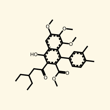 CCC(CC)CC(=O)c1c(C(=O)OC)c(-c2ccc(C)c(C)c2)c2c(OC)c(OC)c(OC)cc2c1O